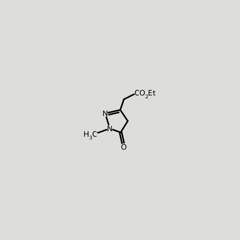 CCOC(=O)CC1=NN(C)C(=O)C1